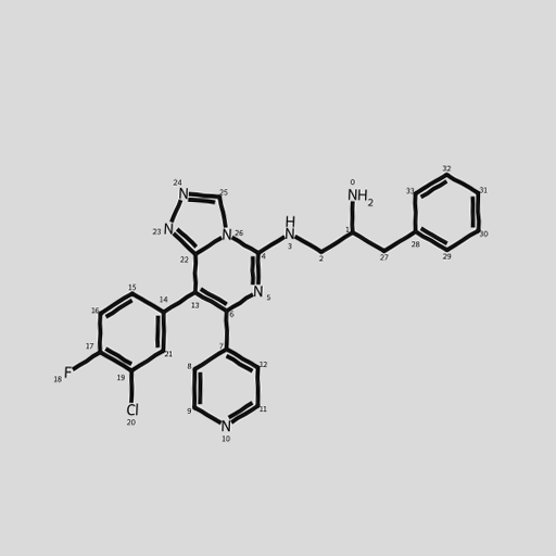 NC(CNc1nc(-c2ccncc2)c(-c2ccc(F)c(Cl)c2)c2nncn12)Cc1ccccc1